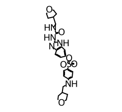 O=C(NCC1CCOCC1)Nc1nc2ccc(OS(=O)(=O)c3ccc(NCC4CCOCC4)cc3)cc2[nH]1